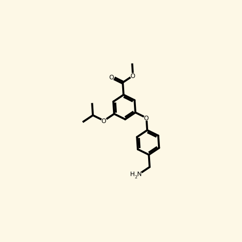 COC(=O)c1cc(Oc2ccc(CN)cc2)cc(OC(C)C)c1